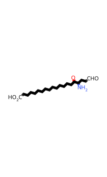 NC(CCC=O)C(=O)CCCCCCCCCCCCCCC(=O)O